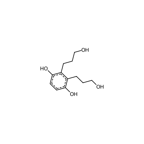 OCCCc1c(O)ccc(O)c1CCCO